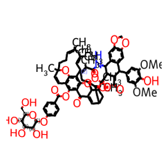 COc1cc(C2c3cc4c(cc3C(NC(=O)/C(C)=C\CC35OC(C)(C)C6CC(C=C7C(=O)c8c(OC(=O)c9ccc(O[C@@H]%10O[C@H](CO)[C@@H](O)[C@@H](O)[C@H]%10O)cc9)c9c(c(CC=C(C)C)c8OC763)OC(C)(CCC=C(C)C)C=C9)C5=O)C3COC(=O)C23)OCO4)cc(OC)c1O